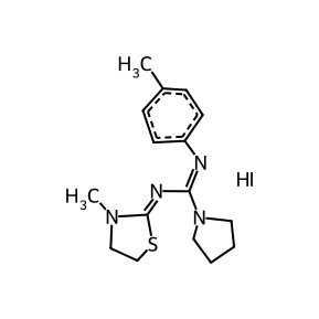 Cc1ccc(N=C(N=C2SCCN2C)N2CCCC2)cc1.I